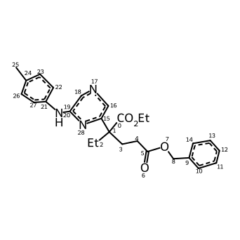 CCOC(=O)C(CC)(CCC(=O)OCc1ccccc1)c1cncc(Nc2ccc(C)cc2)n1